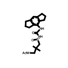 CC(=O)NCC(C)(C)C[S+]([O-])NC(=O)Nc1c2c(cc3c1CCC3)CCC2